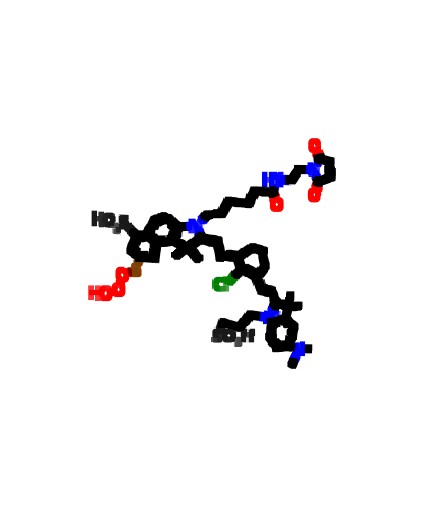 CN(C)c1ccc2c(c1)C(C)(C)C(/C=C/C1=C(Cl)C(=C/C=C3/N(CCCCCC(=O)NCCN4C(=O)C=CC4=O)c4ccc5c(S(=O)(=O)O)cc(SOOO)cc5c4C3(C)C)/CCC1)=[N+]2CCCS(=O)(=O)O